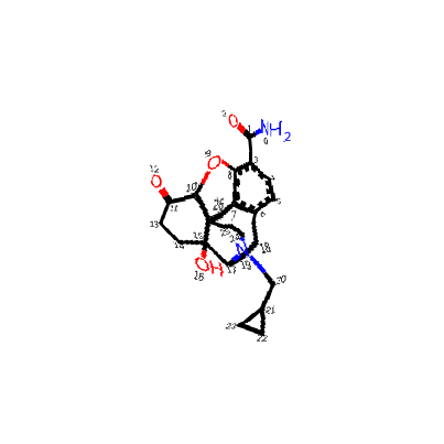 NC(=O)c1ccc2c3c1OC1C(=O)CCC4(O)C(C2)N(CC2CC2)CCC314